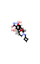 C[C@]12CCN(CC3CCC3)[C@H](Cc3ccc(C(N)=O)c(O)c31)[C@]2(O)CCCO